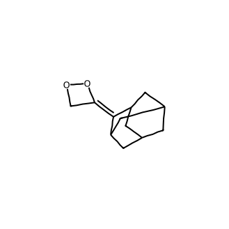 C1OOC1=C1C2CC3CC(C2)CC1C3